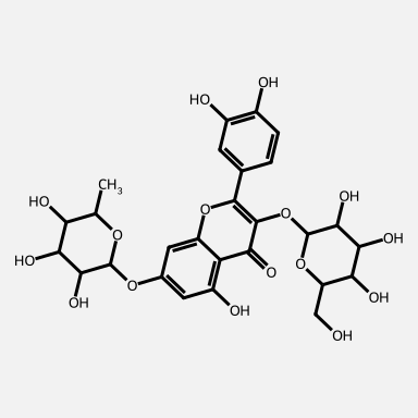 CC1OC(Oc2cc(O)c3c(=O)c(OC4OC(CO)C(O)C(O)C4O)c(-c4ccc(O)c(O)c4)oc3c2)C(O)C(O)C1O